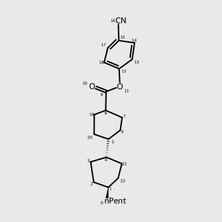 CCCCC[C@H]1CC[C@H](C2CCC(C(=O)Oc3ccc(C#N)cc3)CC2)CC1